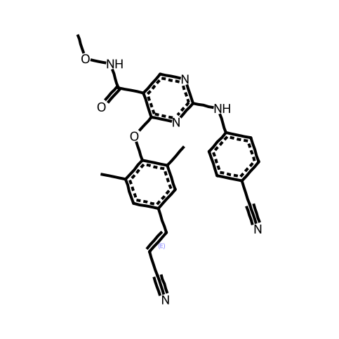 CONC(=O)c1cnc(Nc2ccc(C#N)cc2)nc1Oc1c(C)cc(/C=C/C#N)cc1C